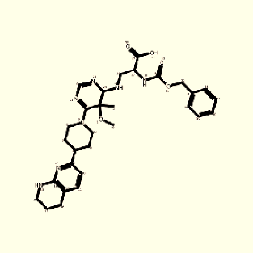 COC1(C)C(N2CCC(c3ccc4c(n3)NCCC4)CC2)=NC=NC1NC[C@H](NC(=O)OCc1ccccc1)C(=O)O